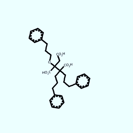 O=C(O)CC(OCCCc1ccccc1)(C(=O)O)C(CCCc1ccccc1)(CCCc1ccccc1)C(=O)O